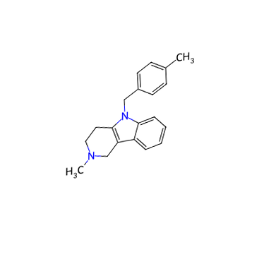 Cc1ccc(Cn2c3c(c4ccccc42)CN(C)CC3)cc1